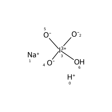 [H+].[Na+].[O-][I+3]([O-])([O-])O